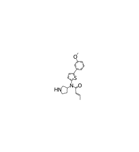 CC=CC(=O)N(c1ccc(-c2cccc(OC)c2)s1)C1CCNC1